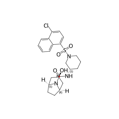 O=C(N[C@H]1CCCN(S(=O)(=O)c2ccc(Cl)c3ccccc23)C1)N1[C@@H]2CC[C@H]1C[C@@H](O)C2